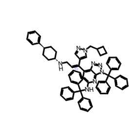 C(/CN[C@H]1CC[C@H](c2ccccc2)CC1)=C(/c1cnn(CC2CCC2)c1)c1cc(NC(c2ccccc2)(c2ccccc2)c2ccccc2)nc2c1nnn2C(c1ccccc1)(c1ccccc1)c1ccccc1